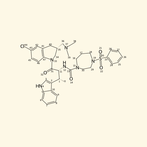 C[C@H](c1c[nH]c2ccccc12)[C@@H](NC(=O)N1CCCN(S(=O)(=O)c2ccccc2)CC1)C(=O)N1C[C@@H](CN(C)C)Cc2cc(Cl)ccc21